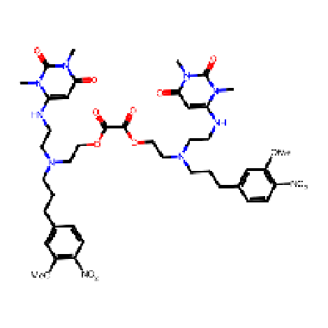 COc1cc(CCCN(CCNc2cc(=O)n(C)c(=O)n2C)CCOC(=O)C(=O)OCCN(CCCc2ccc([N+](=O)[O-])c(OC)c2)CCNc2cc(=O)n(C)c(=O)n2C)ccc1[N+](=O)[O-]